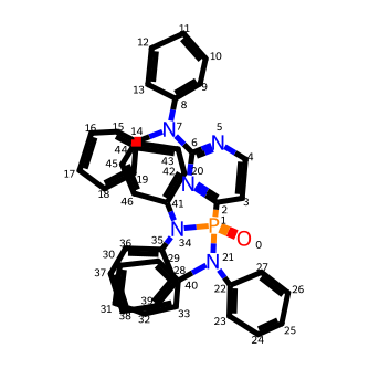 O=P(c1ccnc(N(c2ccccc2)c2ccccc2)n1)(N(c1ccccc1)c1ccccc1)N(c1ccccc1)c1ccccc1